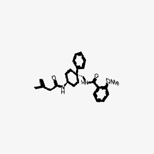 C=C(C)CC(=O)N[C@H]1CC[C@@](CNC(=O)c2ccccc2OC)(c2ccccc2)CC1